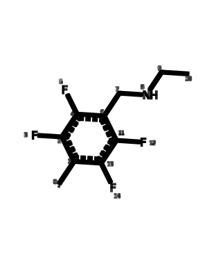 [CH2]c1c(F)c(F)c(CNCC)c(F)c1F